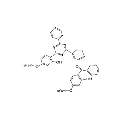 CCCCCCCCOc1ccc(C(=O)c2ccccc2)c(O)c1.CCCCCCOc1ccc(-c2nc(-c3ccccc3)nc(-c3ccccc3)n2)c(O)c1